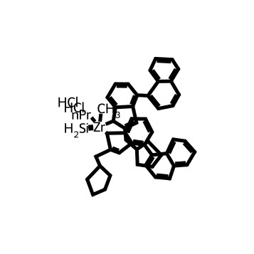 CC[CH2][Zr]([CH3])(=[SiH2])([CH]1C(CC2CCCC2)=Cc2c(-c3cccc4ccccc34)cccc21)[CH]1C(CC2CCCC2)=Cc2c(-c3cccc4ccccc34)cccc21.Cl.Cl